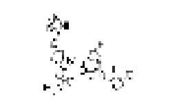 NC(=O)Oc1cn(CC(=O)N2C[C@H](F)C[C@H]2C(=O)NCc2cccc(Cl)c2F)c2cc(OCc3nnn[nH]3)ccc12